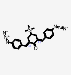 C[Si](C)(C)C1C/C(=C\c2ccc(N=[N+]=[N-])cc2)C(=O)/C(=C/c2ccc(N=[N+]=[N-])cc2)C1